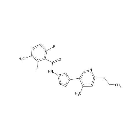 CCOc1cc(C)c(-c2cnc(NC(=O)c3c(F)ccc(C)c3F)s2)cn1